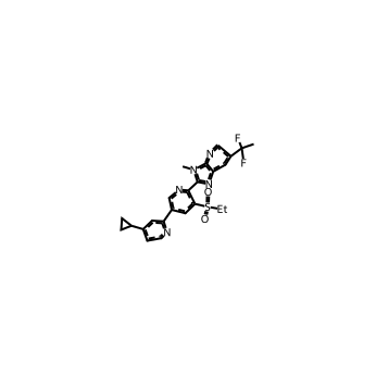 CCS(=O)(=O)c1cc(-c2cc(C3CC3)ccn2)cnc1-c1nc2cc(C(C)(F)F)cnc2n1C